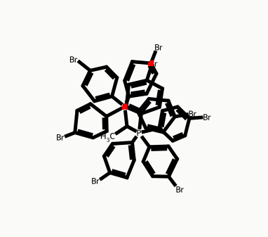 CC(P(c1ccc(Br)cc1)(c1ccc(Br)cc1)(c1ccc(Br)cc1)c1ccc(Br)cc1)P(c1ccc(Br)cc1)(c1ccc(Br)cc1)(c1ccc(Br)cc1)c1ccc(Br)cc1